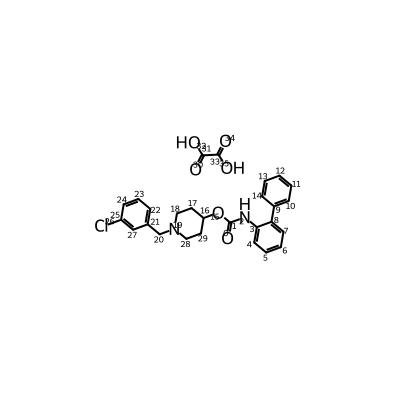 O=C(Nc1ccccc1-c1ccccc1)OC1CCN(Cc2cccc(Cl)c2)CC1.O=C(O)C(=O)O